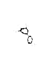 Bc1cc(-c2ccc(C)cc2)cc(Br)c1C